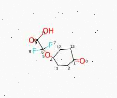 O=C1CCC(OC(F)(F)C(=O)O)CC1